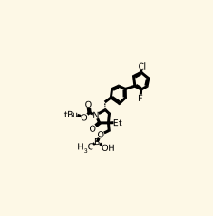 CCC1(COB(C)O)C[C@@H](Cc2ccc(-c3cc(Cl)ccc3F)cc2)N(C(=O)OC(C)(C)C)C1=O